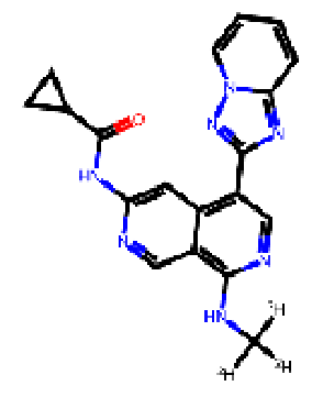 [2H]C([2H])([2H])Nc1ncc(-c2nc3ccccn3n2)c2cc(NC(=O)C3CC3)ncc12